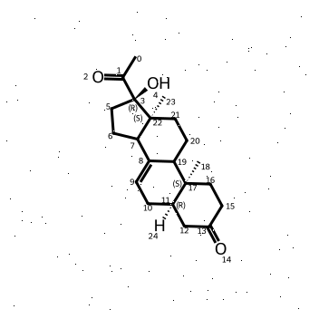 CC(=O)[C@@]1(O)CCC2C3=CC[C@@H]4CC(=O)CC[C@]4(C)C3CC[C@@]21C